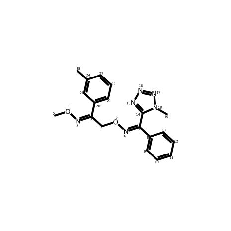 CO/N=C(/CON=C(c1ccccc1)c1nnnn1C)c1cccc(C)c1